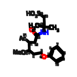 COC(CCOc1ccccc1)C(CC(=O)NC(C)(C)CS(=O)(=O)O)C(C)=O